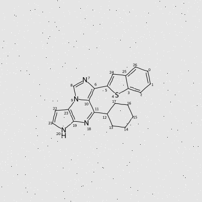 c1ccc2sc(-c3ncn4c3c(C3CCCCC3)nc3[nH]ccc34)cc2c1